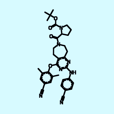 Cc1cc(C#N)cc(C)c1Oc1nc(Nc2ccc(C#N)cc2)nc2c1CCN(C(=O)C1CCCN1C(=O)OC(C)(C)C)CC2